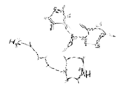 CCCCCN1CCNCC1.O=C(c1ccccc1)c1ccccc1